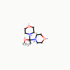 CC(OC(=O)O)(N1CCOCC1)N1CCOCC1